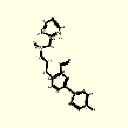 C=Cc1cc(-c2ccc(C)cc2)ccc1CCCN(C)Cc1ncccn1